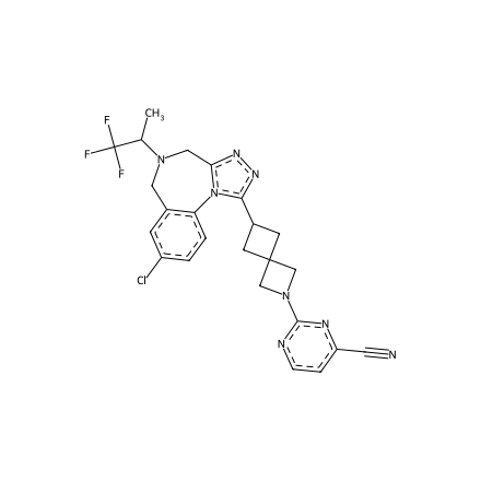 CC(N1Cc2cc(Cl)ccc2-n2c(nnc2C2CC3(C2)CN(c2nccc(C#N)n2)C3)C1)C(F)(F)F